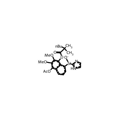 CCCCC(C)(C)C(=O)Oc1c(OC)c(OC)c(OC(C)=O)c2cccc([S+]([O-])c3ncc[nH]3)c12